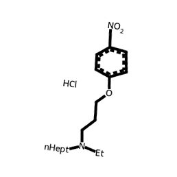 CCCCCCCN(CC)CCCOc1ccc([N+](=O)[O-])cc1.Cl